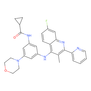 Cc1c(-c2ccccn2)nc2cc(F)ccc2c1Nc1cc(NC(=O)C2CC2)cc(N2CCOCC2)c1